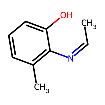 C/C=N\c1c(C)cccc1O